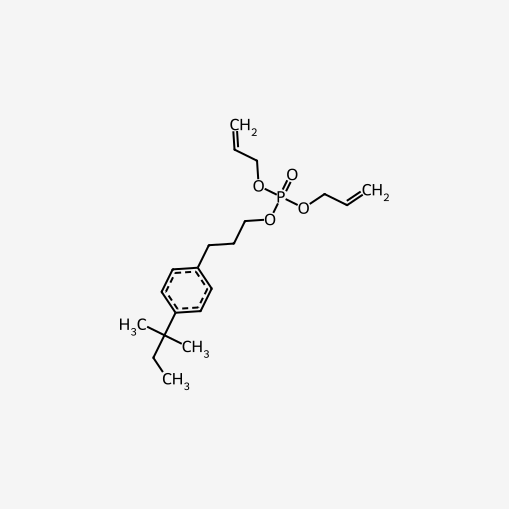 C=CCOP(=O)(OCC=C)OCCCc1ccc(C(C)(C)CC)cc1